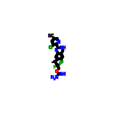 C[C@H](c1cc2c(cc1F)CNC(c1ncc(C#N)cc1Cl)=N2)C(F)(F)COC(=N)N